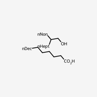 CCCCCCCCCC(CO)CCCCCCC.CCCCCCCCCCCCCCCC(=O)O